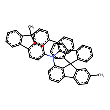 Cc1ccc2c(c1)C1(c3ccccc3-c3ccccc31)c1c-2cccc1N(c1ccc2c(c1)C(C)(C)c1ccccc1-2)c1ccccc1-c1ccccc1